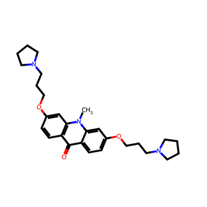 Cn1c2cc(OCCCN3CCCC3)ccc2c(=O)c2ccc(OCCCN3CCCC3)cc21